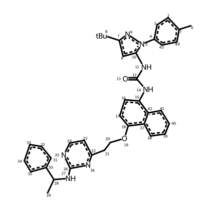 Cc1ccc(-n2nc(C(C)(C)C)cc2NC(=O)Nc2ccc(OCCc3ccnc(NC(C)c4ccccc4)n3)c3ccccc23)cc1